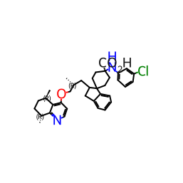 C[C@@H](COc1ccnc2c1[C@H](C)CC[C@H]2C)CC1Cc2ccccc2C12CCC(Nc1cccc(Cl)c1)(C(=O)O)CC2